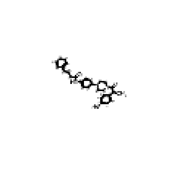 CC(C(=O)N1CCN(c2ccc(NC(=O)CCCc3ccccc3)cc2)CC1)c1ccc(O)cc1